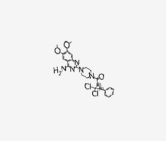 COc1cc2nc(N3CCN(C(=O)[C@H]4[C@@H](c5ccccc5)C4(Cl)Cl)CC3)nc(N)c2cc1OC